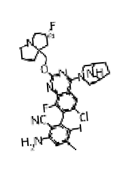 Cc1cc(N)c(C#N)c(-c2c(Cl)cc3c(N4CC5CCC(C4)N5)nc(OCC45CCCN4C[C@H](F)C5)nc3c2F)c1I